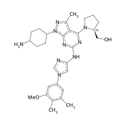 COc1cc(-n2cnc(Nc3nc(N4CCC[C@H]4CO)c4c(C)nn(C5CCC(N)CC5)c4n3)c2)cc(C)c1C